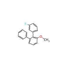 COc1[c]ccc(-c2ccccc2)c1-c1cccc(F)c1